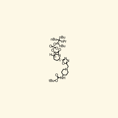 CCCCN(OS(=O)(=O)ON1C(=O)N2C[C@@H]1CC[C@H]2c1nnc(CN2CCC(NC(=O)OC(C)(C)C)CC2)o1)C(CCC)(CCCC)CCCC